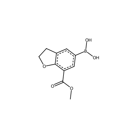 COC(=O)c1cc(B(O)O)cc2c1OCC2